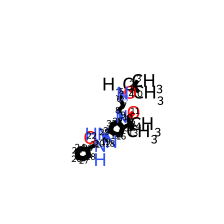 CC(C)(C)O/N=C\CCN1C(=O)C(C)(C)c2cc3nc(NC(=O)c4ccccc4)[nH]c3cc21